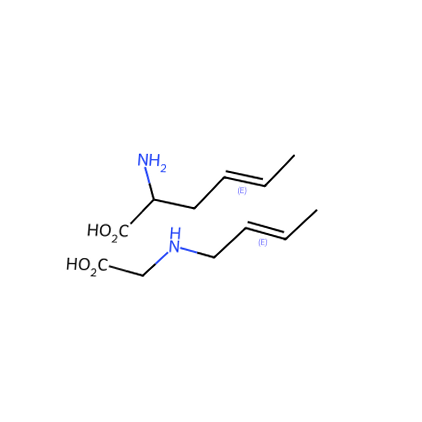 C/C=C/CC(N)C(=O)O.C/C=C/CNCC(=O)O